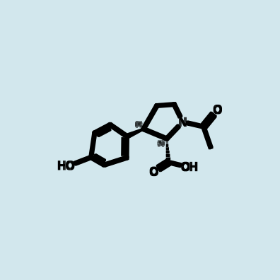 CC(=O)N1CC[C@H](c2ccc(O)cc2)[C@H]1C(=O)O